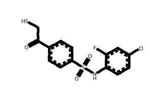 O=C(CS)c1ccc(S(=O)(=O)Nc2ccc(Cl)cc2F)cc1